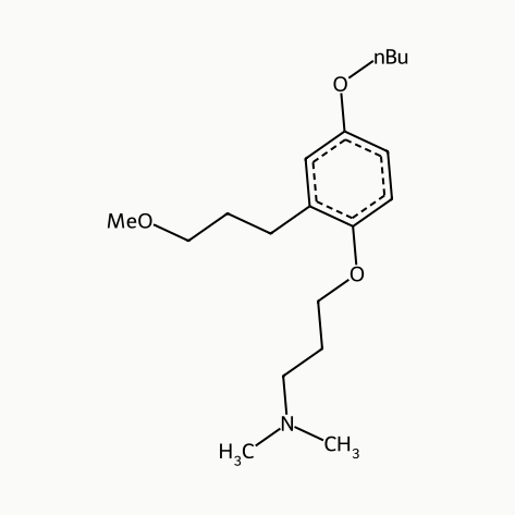 CCCCOc1ccc(OCCCN(C)C)c(CCCOC)c1